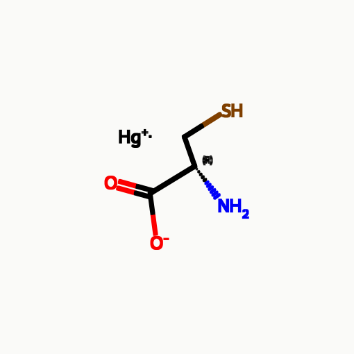 N[C@@H](CS)C(=O)[O-].[Hg+]